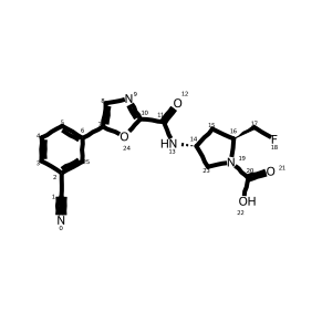 N#Cc1cccc(-c2cnc(C(=O)N[C@@H]3C[C@@H](CF)N(C(=O)O)C3)o2)c1